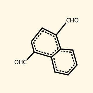 O=Cc1ccc(C=O)c2ccccc12